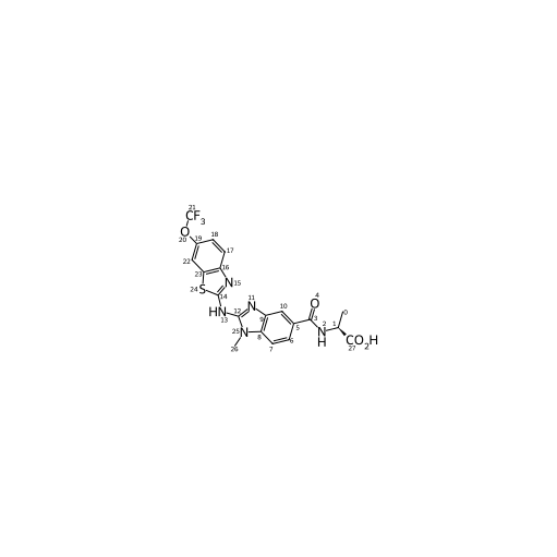 C[C@H](NC(=O)c1ccc2c(c1)nc(Nc1nc3ccc(OC(F)(F)F)cc3s1)n2C)C(=O)O